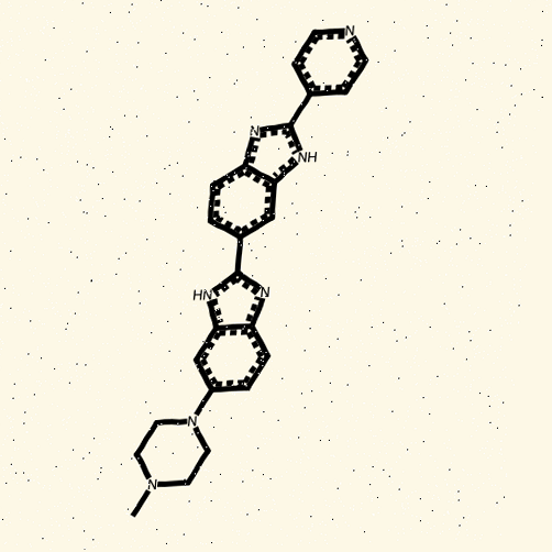 CN1CCN(c2ccc3nc(-c4ccc5nc(-c6ccncc6)[nH]c5c4)[nH]c3c2)CC1